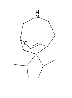 CC(C)C1(C(C)C)CC2CC=CC1CCNC2